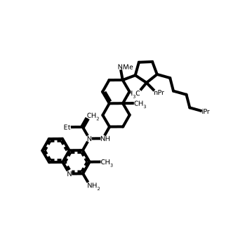 C=C(CC)N(NC1CCC2(C)CC(NC)(C3CCC(CCCCC(C)C)C3(C)CCC)CC=C2C1)c1c(C)c(N)nc2ccccc12